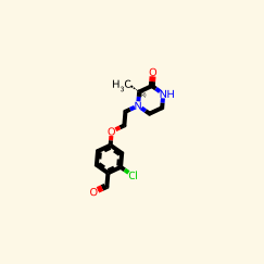 C[C@@H]1C(=O)NCCN1CCOc1ccc(C=O)c(Cl)c1